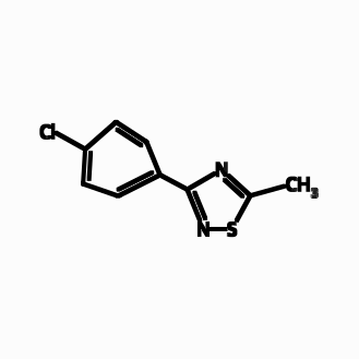 Cc1nc(-c2ccc(Cl)cc2)ns1